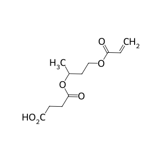 C=CC(=O)OCCC(C)OC(=O)CCC(=O)O